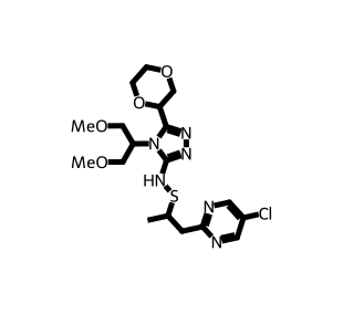 COCC(COC)n1c(NSC(C)Cc2ncc(Cl)cn2)nnc1C1COCCO1